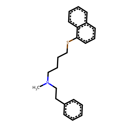 CN(CCCCSc1cccc2ccccc12)CCc1ccccc1